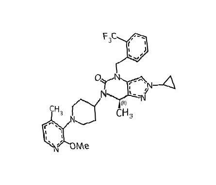 COc1nccc(C)c1N1CCC(N2C(=O)N(Cc3ccccc3C(F)(F)F)c3cn(C4CC4)nc3[C@H]2C)CC1